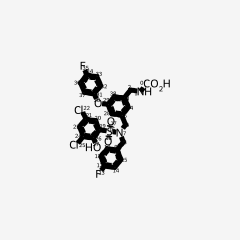 O=C(O)NCc1cc(CN(Cc2ccc(F)cc2)S(=O)(=O)c2cc(Cl)cc(Cl)c2O)cc(Oc2ccc(F)cc2)c1